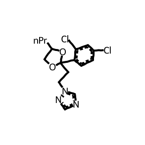 CCCC1COC(CCn2cncn2)(c2ccc(Cl)cc2Cl)O1